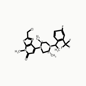 CC(c1ccc(F)cc1C(F)(F)F)N1C[C@H](C)N(c2cc(=O)n(C)c3sc(CCl)nc23)C[C@H]1C